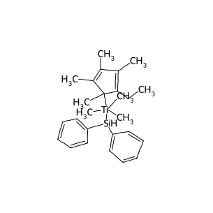 CCC1=C(C)C(C)=C(C)[C]1(C)[Ti]([CH3])([CH3])([CH3])[SiH](c1ccccc1)c1ccccc1